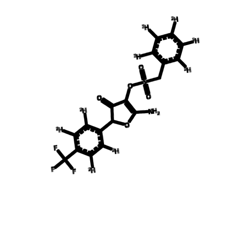 [2H]c1c([2H])c([2H])c(CS(=O)(=O)OC2=C(N)OC(c3c([2H])c([2H])c(C(F)(F)F)c([2H])c3[2H])C2=O)c([2H])c1[2H]